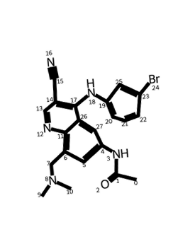 CC(=O)Nc1cc(CN(C)C)c2ncc(C#N)c(Nc3cccc(Br)c3)c2c1